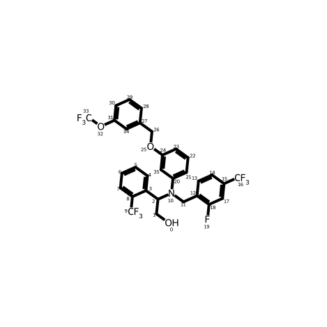 OCC(c1ccccc1C(F)(F)F)N(Cc1ccc(C(F)(F)F)cc1F)c1cccc(OCc2cccc(OC(F)(F)F)c2)c1